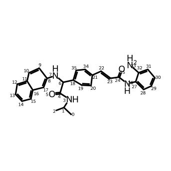 CC(C)NC(=O)C(Nc1ccc2ccccc2c1)c1ccc(/C=C/C(=O)Nc2ccccc2N)cc1